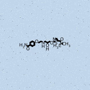 CN(C)C(=O)c1cnc(OCC(O)CNCCOc2ccc(C(N)=O)cc2)s1